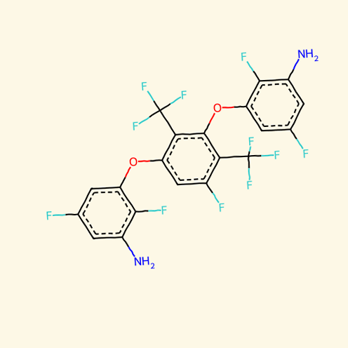 Nc1cc(F)cc(Oc2cc(F)c(C(F)(F)F)c(Oc3cc(F)cc(N)c3F)c2C(F)(F)F)c1F